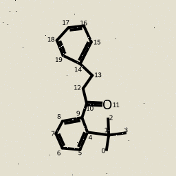 CC(C)(C)c1ccccc1C(=O)CCc1ccccc1